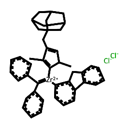 CC1=[C]([Zr+2](=[C](c2ccccc2)c2ccccc2)[c]2cccc3c2Cc2ccccc2-3)C(C)C=C1CC12CC3CC(CC(C3)C1)C2.[Cl-].[Cl-]